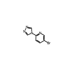 Brc1ccc(-n2cnnc2)nc1